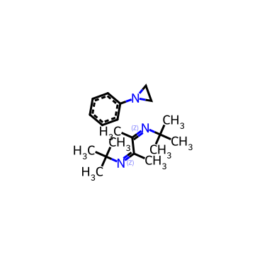 CC(=N/C(C)(C)C)/C(C)=N\C(C)(C)C.c1ccc(N2CC2)cc1